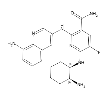 NC(=O)c1cc(F)c(N[C@@H]2CCCC[C@@H]2N)nc1Nc1cnc2c(N)cccc2c1